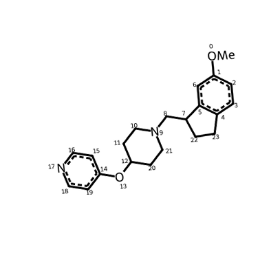 COc1ccc2c(c1)C(CN1CCC(Oc3ccncc3)CC1)CC2